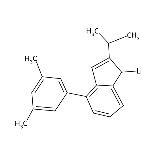 [Li][CH]1C(C(C)C)=Cc2c(-c3cc(C)cc(C)c3)cccc21